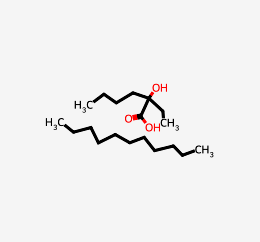 CCCCC(O)(CC)C(=O)O.CCCCCCCCCCC